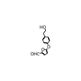 O=Cc1ccc(Oc2ccc(CCO)cc2)o1